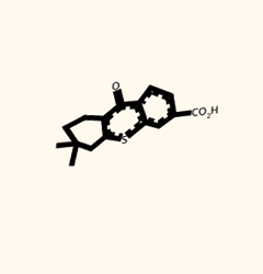 CC1(C)CCc2c(sc3cc(C(=O)O)ccc3c2=O)C1